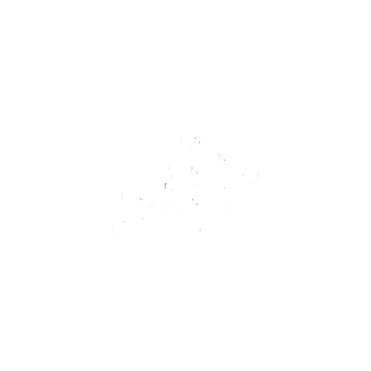 Nc1nc(O)c2oc(=S)n([C@@H]3O[C@H](CO)[C@@H](O)[C@H]3O)c2n1